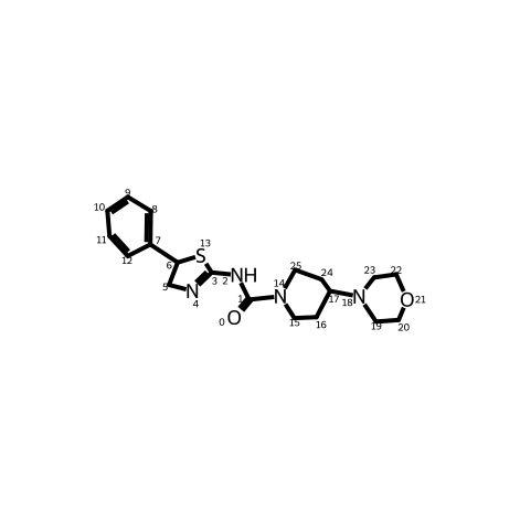 O=C(NC1=NCC(c2ccccc2)S1)N1CCC(N2CCOCC2)CC1